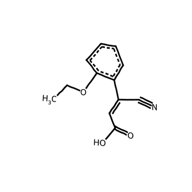 CCOc1ccccc1C(C#N)=CC(=O)O